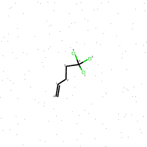 C=CC[CH]C(Cl)(Cl)Cl